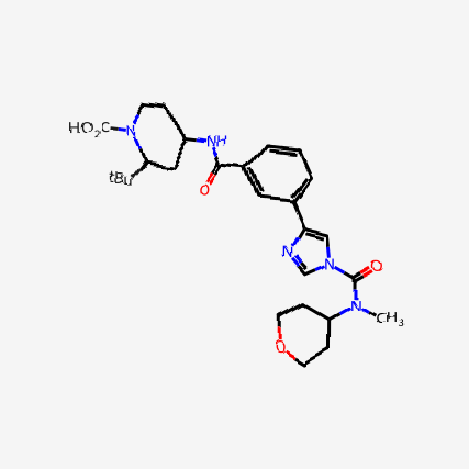 CN(C(=O)n1cnc(-c2cccc(C(=O)NC3CCN(C(=O)O)C(C(C)(C)C)C3)c2)c1)C1CCOCC1